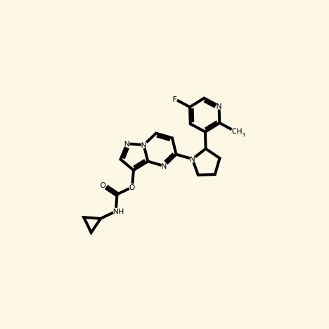 Cc1ncc(F)cc1C1CCCN1c1ccn2ncc(OC(=O)NC3CC3)c2n1